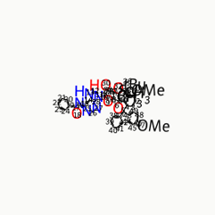 COc1ccc(C(OC[C@H]2O[C@@H](n3cnc4c(NC(=O)c5ccccc5)ncnc43)[C@H](O)[C@@H]2O[Si](C)(C)C(C)(C)C)(c2ccccc2)c2ccc(OC)cc2)cc1